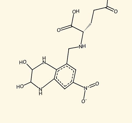 O=C(O)CC[C@H](NCc1cc([N+](=O)[O-])cc2c1NC(O)C(O)N2)C(=O)O